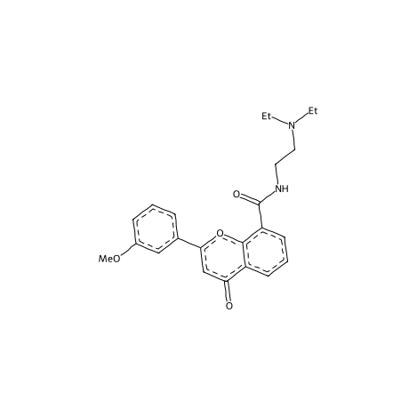 CCN(CC)CCNC(=O)c1cccc2c(=O)cc(-c3cccc(OC)c3)oc12